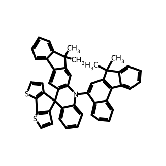 CC1(C)c2ccccc2-c2cc3c(cc21)N(c1cc2c(c4ccccc14)-c1ccccc1C2(C)C)c1ccccc1C31c2ccsc2-c2sccc21